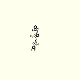 Cc1c(CSc2nc3ccccc3[nH]2)cccc1SCCOC(=O)Nc1ccc(F)c(F)c1